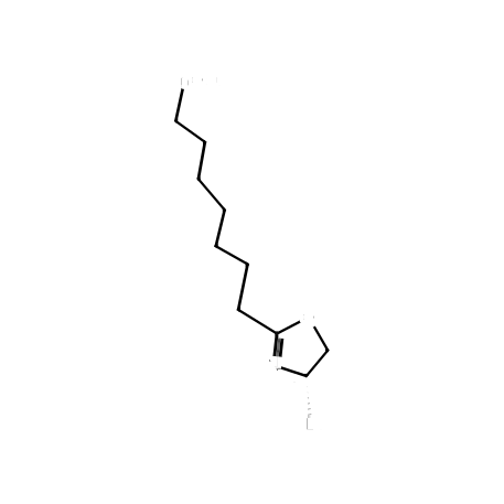 CCCCCCCCCCCCCCCC1=N[C@@H](CC)CO1